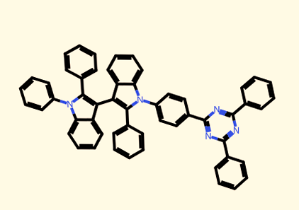 c1ccc(-c2nc(-c3ccccc3)nc(-c3ccc(-n4c(-c5ccccc5)c(-c5c(-c6ccccc6)n(-c6ccccc6)c6ccccc56)c5ccccc54)cc3)n2)cc1